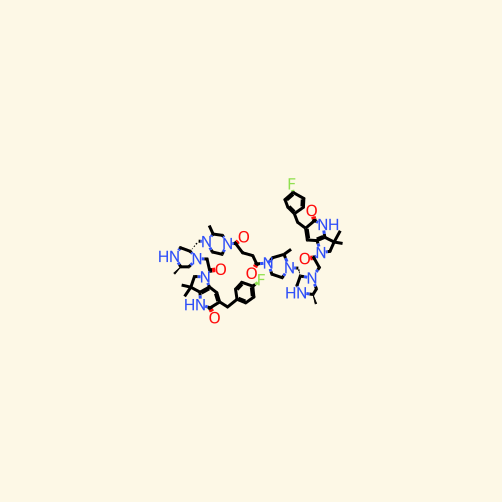 CC1CN(C(=O)CCC(=O)N2CCN(C[C@H]3CN[C@H](C)CN3CC(=O)N3CC(C)(C)c4[nH]c(=O)c(Cc5ccc(F)cc5)cc43)C(C)C2)CCN1C[C@H]1CN[C@H](C)CN1CC(=O)N1CC(C)(C)c2[nH]c(=O)c(Cc3ccc(F)cc3)cc21